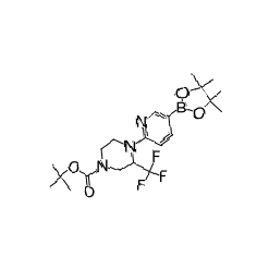 CC(C)(C)OC(=O)N1CCN(c2ccc(B3OC(C)(C)C(C)(C)O3)cn2)C(C(F)(F)F)C1